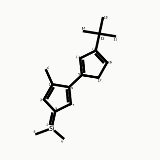 CC1=CC(=[Si](C)C)[C]=C1C1=CC(C(C)(C)C)=CC1